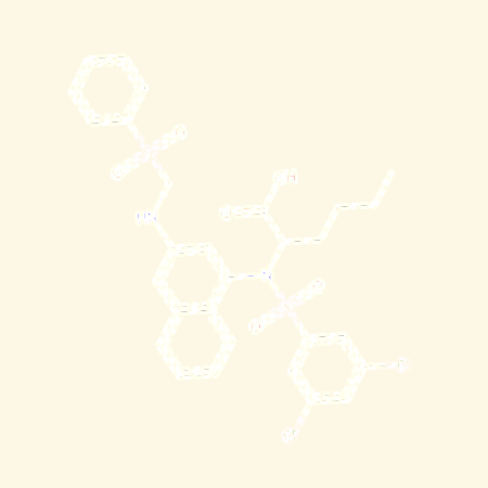 CCCCC(C(=O)O)N(c1cc(NCS(=O)(=O)c2ccccc2)cc2ccccc12)S(=O)(=O)c1cc(Cl)cc(Cl)c1